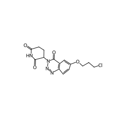 O=C1CCC(n2nnc3ccc(OCCCCl)cc3c2=O)C(=O)N1